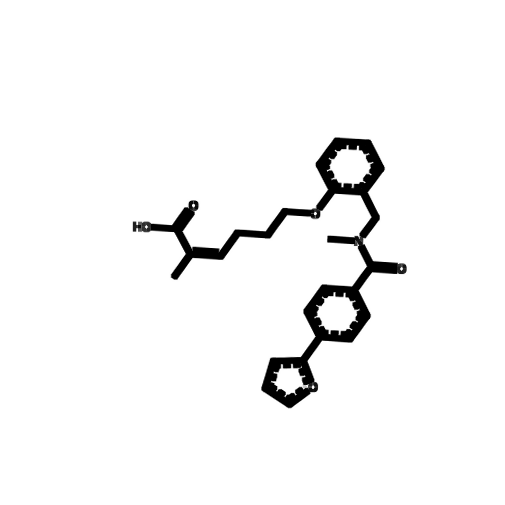 CC(=CCCCOc1ccccc1CN(C)C(=O)c1ccc(-c2ccco2)cc1)C(=O)O